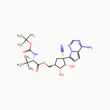 CC(C)(C)OC(=O)N[C@H](C(=O)OC[C@H]1C[C@@](C#N)(c2ccc3c(N)ncnn23)[C@H](O)[C@@H]1O)C(C)(C)C